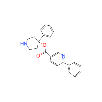 O=C(OC1(c2ccccc2)CCNCC1)c1ccc(-c2ccccc2)nc1